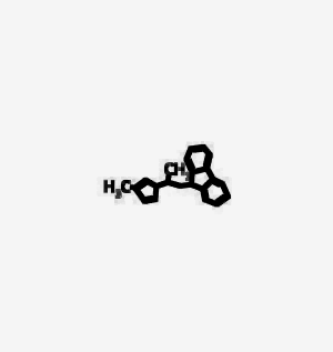 CC1=CC(C(C)CC2c3ccccc3-c3ccccc32)C=C1